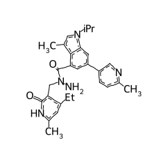 CCc1cc(C)[nH]c(=O)c1CN(N)C(=O)c1cc(-c2ccc(C)nc2)cc2c1c(C)cn2C(C)C